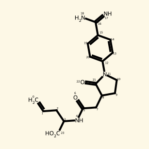 C=CCC(NC(=O)CC1CCN(c2ccc(C(=N)N)cc2)C1=O)C(=O)O